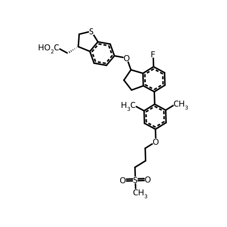 Cc1cc(OCCCS(C)(=O)=O)cc(C)c1-c1ccc(F)c2c1CCC2Oc1ccc2c(c1)SC[C@H]2CC(=O)O